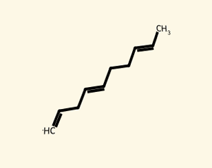 [CH]=CCC=CCCC=CC